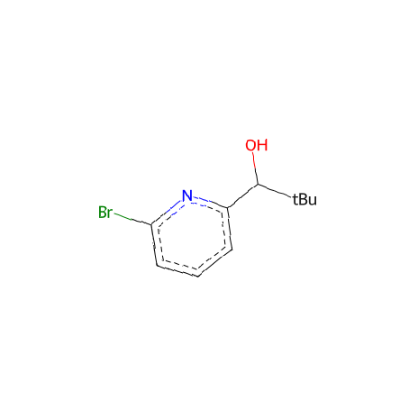 CC(C)(C)C(O)c1cccc(Br)n1